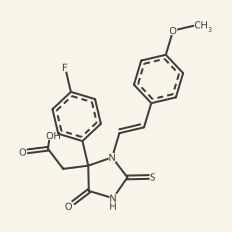 COc1ccc(/C=C/N2C(=S)NC(=O)C2(CC(=O)O)c2ccc(F)cc2)cc1